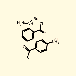 CC(C)(C)NN.Cc1ccc(C(=O)Cl)cc1.Cl.O=C(Cl)c1ccccc1